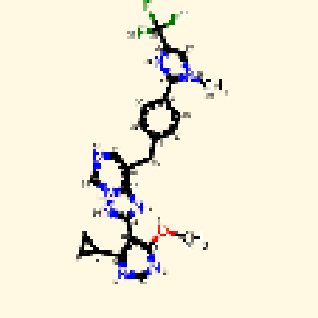 COc1ncnc(C2CC2)c1-c1nc2c(Cc3ccc(-c4nc(C(F)(F)F)cn4C)cc3)cncn2n1